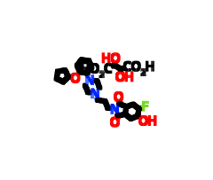 O=C(O)C(O)C(O)C(=O)O.O=C1C2CC(O)C(F)CC2C(=O)N1CCCN1CCN(c2ccccc2OC2CCCC2)CC1